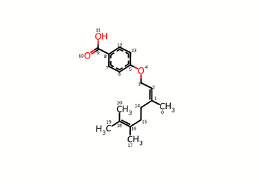 CC(=CCOc1ccc(C(=O)O)cc1)CCC(C)=C(C)C